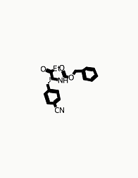 CCC(=O)[C@@H](Cc1ccc(C#N)cc1)NC(=O)OCc1ccccc1